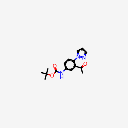 CC(=O)c1cc(NC(=O)OC(C)(C)C)ccc1-n1cccn1